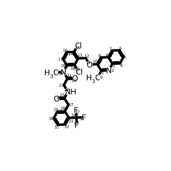 Cc1nc2ccccc2cc1OCc1c(Cl)ccc(N(C)C(=O)CNC(=O)Cc2ccccc2C(F)(F)F)c1Cl